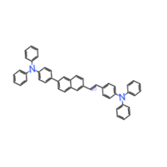 C(=C\c1ccc2cc(-c3ccc(N(c4ccccc4)c4ccccc4)cc3)ccc2c1)/c1ccc(N(c2ccccc2)c2ccccc2)cc1